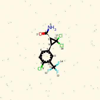 NC(=O)[C@H]1[C@H](c2ccc(Cl)c(C(F)(F)F)c2)C1(Cl)Cl